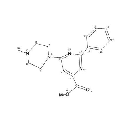 COC(=O)c1cc(N2CCN(C)CC2)nc(-c2ccccc2)n1